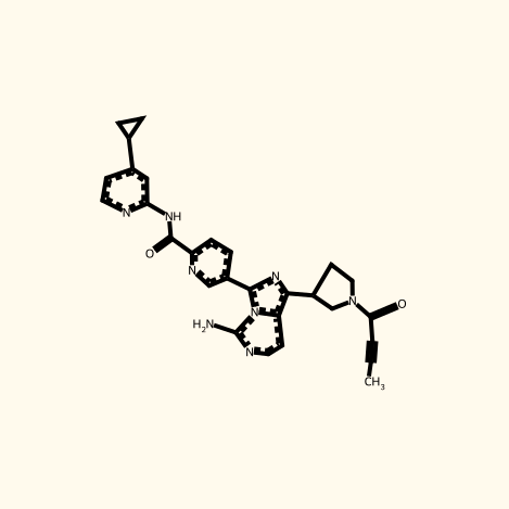 CC#CC(=O)N1CCC(c2nc(-c3ccc(C(=O)Nc4cc(C5CC5)ccn4)nc3)n3c(N)nccc23)C1